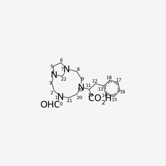 O=CN1CCN2CCN(CCN(C(Cc3ccccc3)C(=O)O)CC1)C2